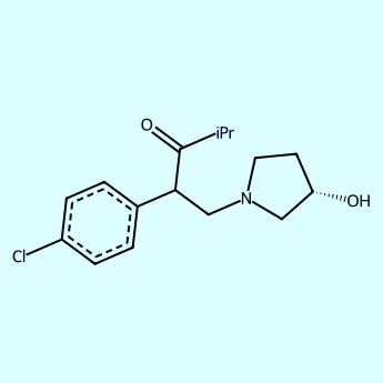 CC(C)C(=O)C(CN1CC[C@H](O)C1)c1ccc(Cl)cc1